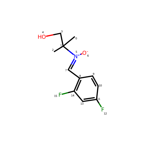 CC(C)(CO)[N+]([O-])=Cc1ccc(F)cc1F